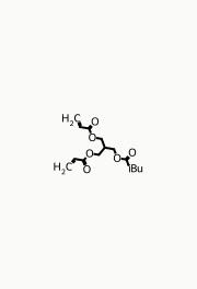 C=CC(=O)OCC(COC(=O)C=C)COC(=O)C(C)CC